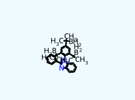 BC(C)(C)c1cc(C(B)(C)C)c(-n2c(-c3ccccc3)nc3ccccc32)c(C(B)(C)C)c1